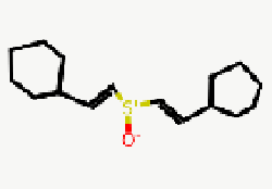 [O-][S+](C=CC1CCCCC1)C=CC1CCCCC1